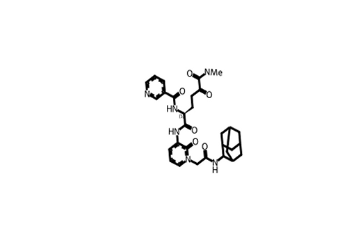 CNC(=O)C(=O)CC[C@H](NC(=O)c1cccnc1)C(=O)Nc1cccn(CC(=O)NC2C3CC4CC(C3)CC2C4)c1=O